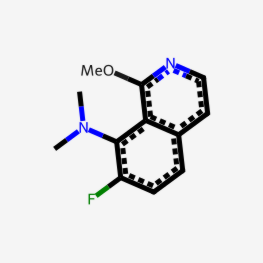 COc1nccc2ccc(F)c(N(C)C)c12